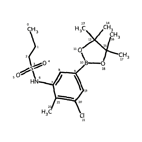 CCCS(=O)(=O)Nc1cc(B2OC(C)(C)C(C)(C)O2)cc(Cl)c1C